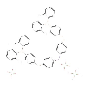 Cc1ccccc1[S+](c1ccc(Sc2ccc([I+]c3ccc(Sc4ccc([S+](c5ccccc5C)c5ccccc5C)cc4)cc3)cc2)cc1)c1ccccc1C.[O-][Cl+3]([O-])([O-])[O-].[O-][Cl+3]([O-])([O-])[O-].[O-][Cl+3]([O-])([O-])[O-]